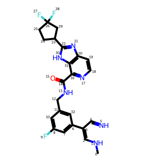 CN/C=C(\C=N)c1cc(F)cc(CNC(=O)c2nccc3nc(C4CCC(F)(F)C4)[nH]c23)c1